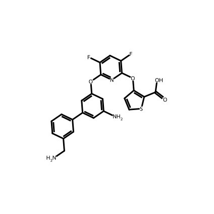 NCc1cccc(-c2cc(N)cc(Oc3nc(Oc4ccsc4C(=O)O)c(F)cc3F)c2)c1